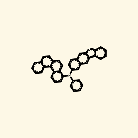 c1ccc(N(c2ccc3cc4sc5ccccc5c4cc3c2)c2cccc3c2ccc2ccc4ccccc4c23)cc1